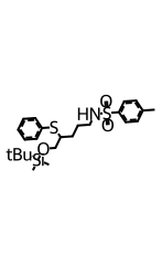 Cc1ccc(S(=O)(=O)NCCCC(CO[Si](C)(C)C(C)(C)C)Sc2ccccc2)cc1